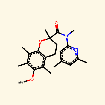 CCCOc1c(C)c(C)c2c(c1C)CCC(C)(C(=O)N(C)c1cc(C)cc(C)n1)O2